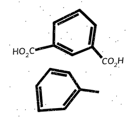 Cc1ccccc1.O=C(O)c1cccc(C(=O)O)c1